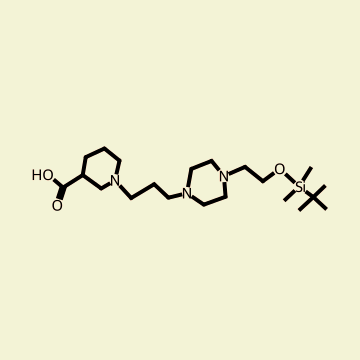 CC(C)(C)[Si](C)(C)OCCN1CCN(CCCN2CCCC(C(=O)O)C2)CC1